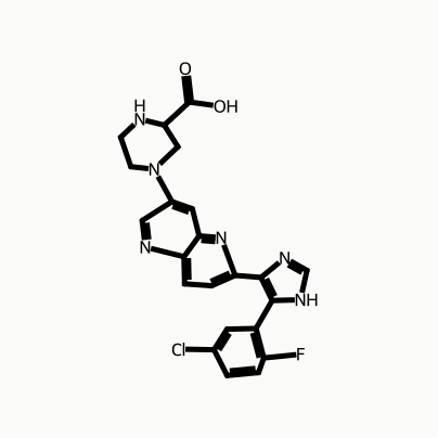 O=C(O)C1CN(c2cnc3ccc(-c4nc[nH]c4-c4cc(Cl)ccc4F)nc3c2)CCN1